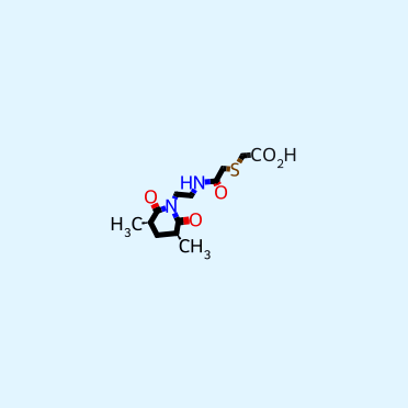 C[C@@H]1C[C@H](C)C(=O)N(CCNC(=O)CSCC(=O)O)C1=O